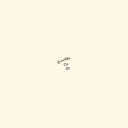 [Co].[OH][Zr].[Zn]